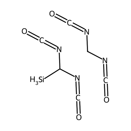 O=C=NC([SiH3])N=C=O.O=C=NCN=C=O